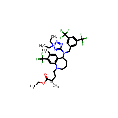 CCOC(=O)[C@@H](C)CCN1CCCC(N(Cc2cc(C(F)(F)F)cc(C(F)(F)F)c2)C2=N[N+](CC)(CC)N=N2)c2cc(C)c(C(F)(F)F)cc21